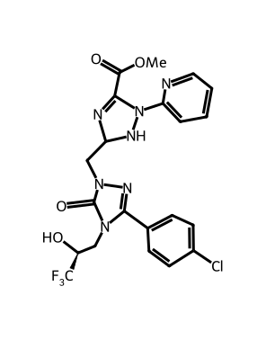 COC(=O)C1=NC(Cn2nc(-c3ccc(Cl)cc3)n(C[C@H](O)C(F)(F)F)c2=O)NN1c1ccccn1